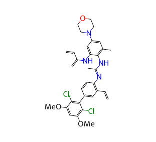 C=CC(=C)Nc1cc(N2CCOCC2)cc(C)c1N/C(C)=N/c1ccc(-c2c(Cl)c(OC)cc(OC)c2Cl)cc1C=C